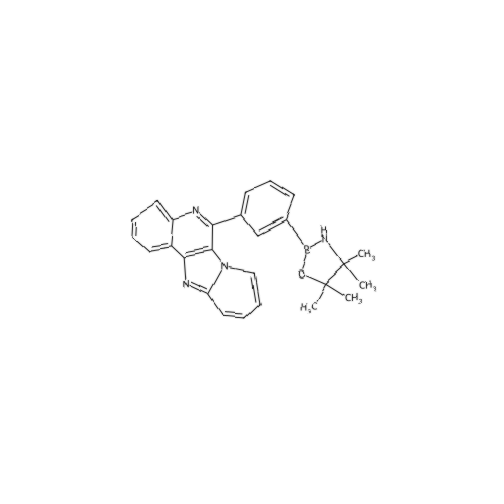 CC1(C)NB(c2cccc(-c3nc4ccccc4c4nc5ccccn5c34)c2)OC1(C)C